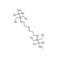 [2H]C[Si](C[2H])(OCCSSCCO[Si](C[2H])(C[2H])C(C)(CC)CC)C(C)(CC)CC